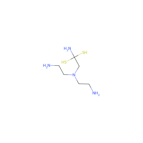 NCCN(CCN)CC(N)(S)S